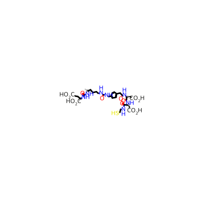 C[C@H](CCCCNC(=O)NCc1ccc(CC(=O)N[C@@H](CC(=O)O)C(=O)N[C@@H](CC(=O)O)C(=O)NCCS)cc1)NC(=O)N[C@@H](CCC(=O)O)C(=O)O